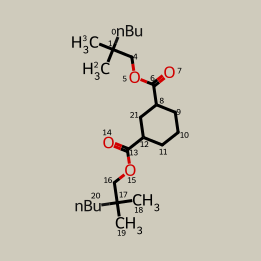 CCCCC(C)(C)COC(=O)C1CCCC(C(=O)OCC(C)(C)CCCC)C1